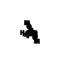 Cc1cc(-c2ccc(-c3cncs3)cc2)c2ccccc2c1-c1ccc(-c2ccc(-c3cncs3)cc2)cc1N(C)C